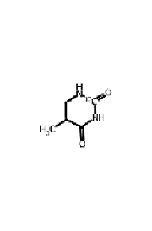 CC1CN[13C](=O)NC1=O